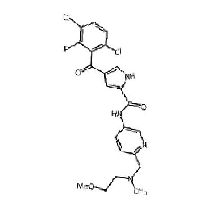 COCCN(C)Cc1ccc(NC(=O)c2cc(C(=O)c3c(Cl)ccc(Cl)c3F)c[nH]2)cn1